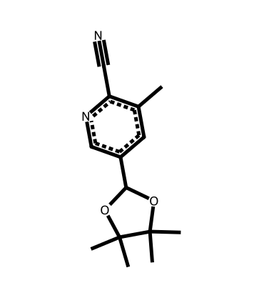 Cc1cc(C2OC(C)(C)C(C)(C)O2)cnc1C#N